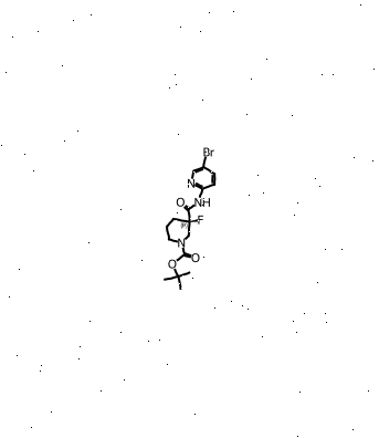 CC(C)(C)OC(=O)N1CCC[C@](F)(C(=O)Nc2ccc(Br)cn2)C1